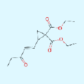 CCOC(=O)C1(C(=O)OCC)CC1C=CC(=O)CC